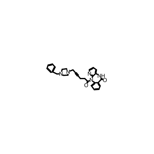 O=C1Nc2cccnc2N(C(=O)CCC#CCN2CCN(Cc3ccccc3)CC2)c2ccccc21